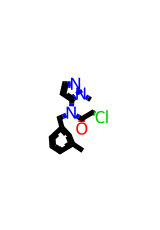 Cc1cccc(CN(C(=O)CCl)c2ccnn2C)c1